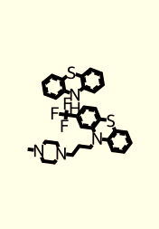 CN1CCN(CCCN2c3ccccc3Sc3ccc(C(F)(F)F)cc32)CC1.c1ccc2c(c1)Nc1ccccc1S2